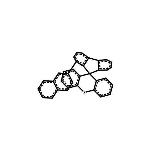 c1ccc2c(c1)Sc1ccccc1C21c2ccccc2-c2cccc(-c3ccc4ccccc4c3)c21